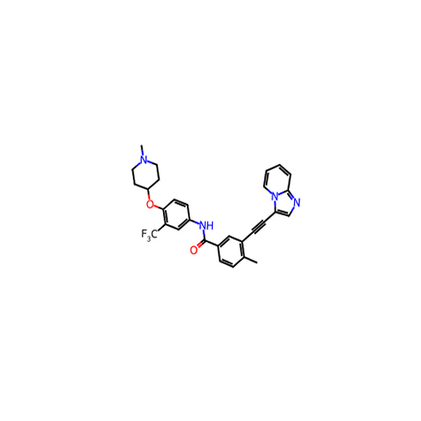 Cc1ccc(C(=O)Nc2ccc(OC3CCN(C)CC3)c(C(F)(F)F)c2)cc1C#Cc1cnc2ccccn12